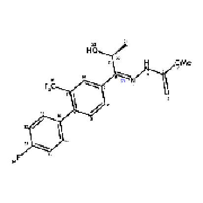 COC(=O)N/N=C(/c1ccc(-c2ccc(F)cc2)c(C(F)(F)F)c1)[C@H](C)O